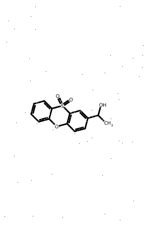 CC(O)c1ccc2c(c1)S(=O)(=O)c1ccccc1O2